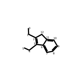 CCC1=C(CC)c2ccccc2C1